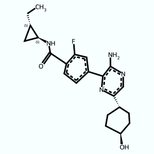 CC[C@H]1C[C@@H]1NC(=O)c1ccc(-c2nc([C@H]3CC[C@H](O)CC3)cnc2N)cc1F